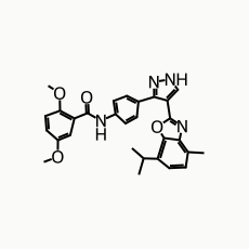 COc1ccc(OC)c(C(=O)Nc2ccc(-c3n[nH]cc3-c3nc4c(C)ccc(C(C)C)c4o3)cc2)c1